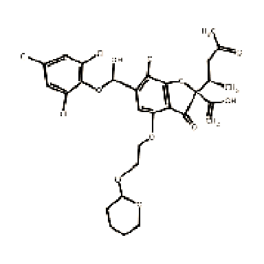 C=C(O)[C@]1([C@H](C)CC(C)=O)Oc2c(Cl)c(C(O)Oc3c(Cl)cc(Cl)cc3Cl)cc(OCCOC3CCCCO3)c2C1=O